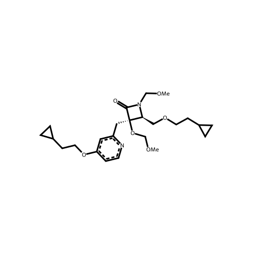 COCO[C@@]1(Cc2cc(OCCC3CC3)ccn2)C(=O)N(COC)[C@H]1COCCC1CC1